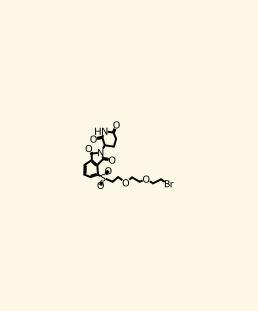 O=C1CCC(N2C(=O)c3cccc(S(=O)(=O)CCOCCOCCBr)c3C2=O)C(=O)N1